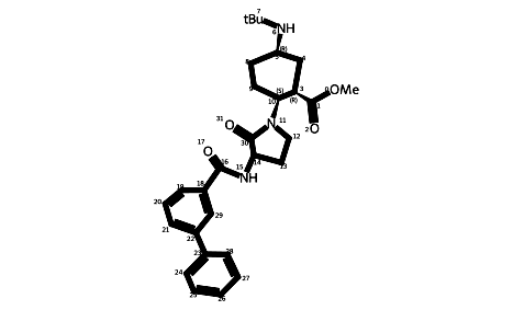 COC(=O)[C@@H]1C[C@H](NC(C)(C)C)CC[C@@H]1N1CCC(NC(=O)c2cccc(-c3ccccc3)c2)C1=O